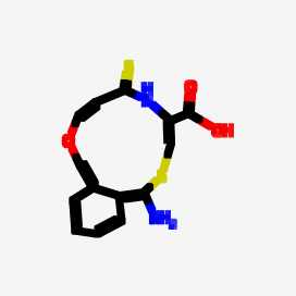 Nc1scc(C(=O)O)[nH]c(=S)ccocc2ccccc12